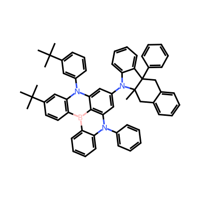 CC(C)(C)c1cccc(N2c3cc(C(C)(C)C)ccc3B3c4ccccc4N(c4ccccc4)c4cc(N5c6ccccc6C6(c7ccccc7)Cc7ccccc7CC56C)cc2c43)c1